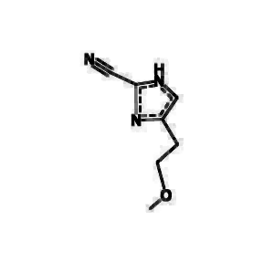 COCCc1c[nH]c(C#N)n1